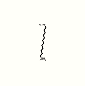 CCCCCCCCCCCCCCCCCCCC[SiH2]F